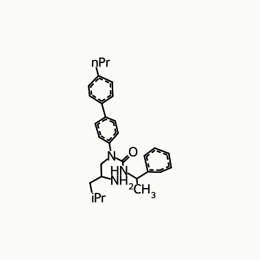 CCCc1ccc(-c2ccc(N(CC(N)CC(C)C)C(=O)NC(C)c3ccccc3)cc2)cc1